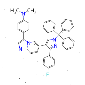 CN(C)c1ccc(-c2cnc3ccc(-c4cn(C(c5ccccc5)(c5ccccc5)c5ccccc5)nc4-c4ccc(F)cc4)cn23)cc1